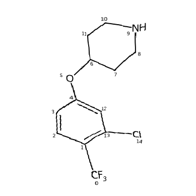 FC(F)(F)c1ccc(OC2CCNCC2)cc1Cl